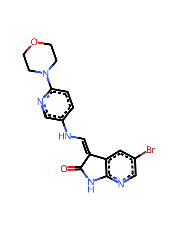 O=C1Nc2ncc(Br)cc2C1=CNc1ccc(N2CCOCC2)nc1